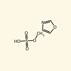 COS(=O)(=O)O.c1cocn1